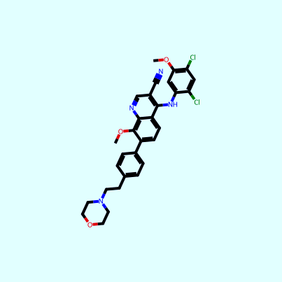 COc1cc(Nc2c(C#N)cnc3c(OC)c(-c4ccc(CCN5CCOCC5)cc4)ccc23)c(Cl)cc1Cl